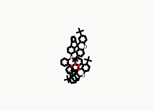 CC(C)(C)c1ccc2c(c1)C1(c3cc(C(C)(C)C)ccc3O2)c2ccccc2-c2ccc(N(c3ccccc3-c3cccc4c3oc3ccccc34)c3cccc4c3-c3ccccc3C43c4cc(C(C)(C)C)ccc4Oc4ccc(C(C)(C)C)cc43)cc21